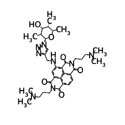 CC1O[C@@H](n2cc(CNc3cc4c5c(ccc6c5c3C(=O)N(CCCN(C)C)C6=O)C(=O)N(CCCN(C)C)C4=O)nn2)C(C)C(O)[C@@H]1C